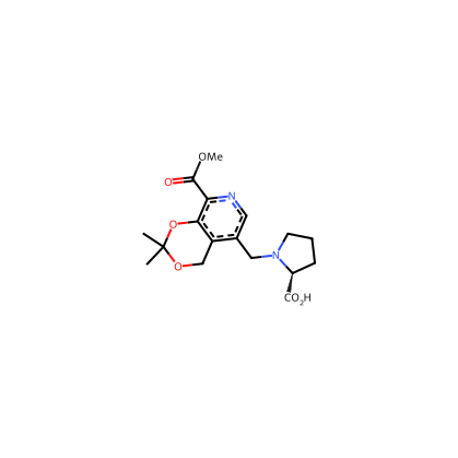 COC(=O)c1ncc(CN2CCC[C@H]2C(=O)O)c2c1OC(C)(C)OC2